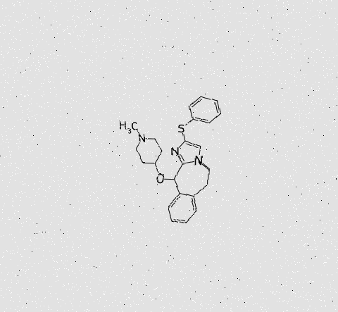 CN1CCC(OC2c3ccccc3CCn3cc(Sc4ccccc4)nc32)CC1